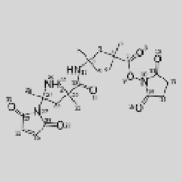 CC(C)(CC(C)(C)C(=O)ON1C(=O)CCC1=O)NC(=O)C(C)(C)CC(C)(N)N1C(=O)C=CC1=O